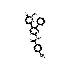 CC(C)n1nc(-c2cnc(NC(=O)c3ccc(C(F)(F)F)cc3)nc2-c2ccccc2)ccc1=O